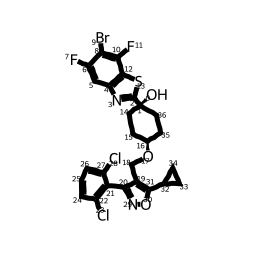 O[C@]1(c2nc3cc(F)c(Br)c(F)c3s2)CC[C@H](OCc2c(-c3c(Cl)cccc3Cl)noc2C2CC2)CC1